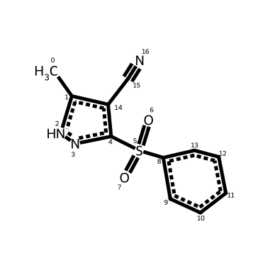 Cc1[nH]nc(S(=O)(=O)c2ccccc2)c1C#N